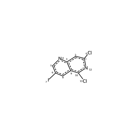 Clc1cc2ncc(I)cc2c(Cl)n1